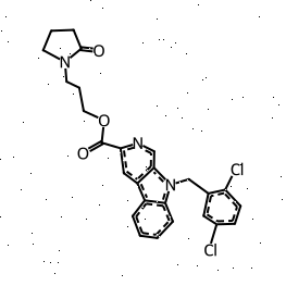 O=C(OCCCN1CCCC1=O)c1cc2c3ccccc3n(Cc3cc(Cl)ccc3Cl)c2cn1